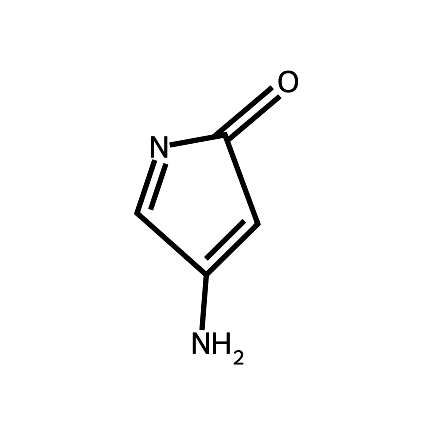 NC1=CC(=O)N=C1